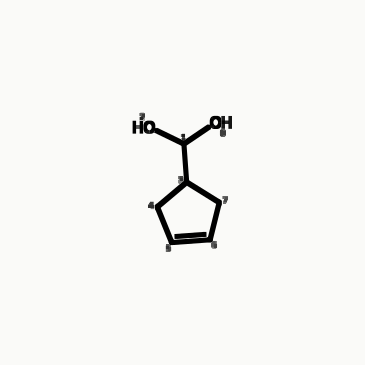 OC(O)C1CC=CC1